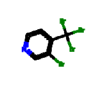 Brc1cnccc1C(Br)(Br)Br